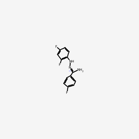 N/C(=N\Nc1ccc(F)cc1F)c1ccc(F)cc1